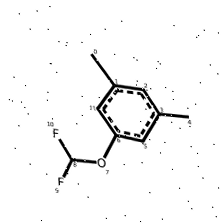 Cc1[c]c(C)cc(OC(F)F)c1